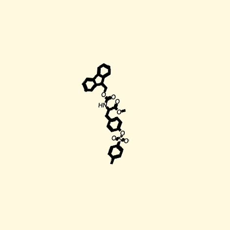 COC(=O)C(Cc1ccc(OS(=O)(=O)c2ccc(C)cc2)cc1)NC(=O)OCC1c2ccccc2-c2ccccc21